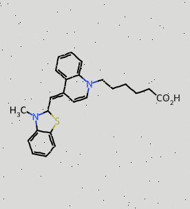 CN1c2ccccc2SC1C=C1C=CN(CCCCCC(=O)O)c2ccccc21